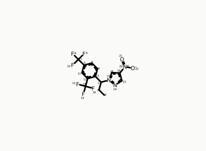 CCC(c1ccc(C(F)(F)F)cc1C(F)(F)F)n1cc([N+](=O)[O-])cn1